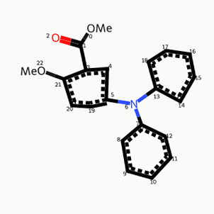 COC(=O)c1cc(N(c2ccccc2)c2ccccc2)ccc1OC